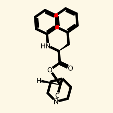 O=C(O[C@H]1CN2CCC1CC2)[C@H](Cc1ccccc1)Nc1ccccc1